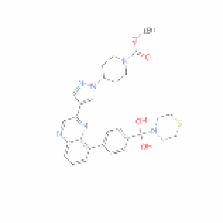 CC(C)(C)OC(=O)N1CCC(n2cc(-c3cnc4cccc(-c5ccc(C(O)(O)N6CCSCC6)cc5)c4n3)cn2)CC1